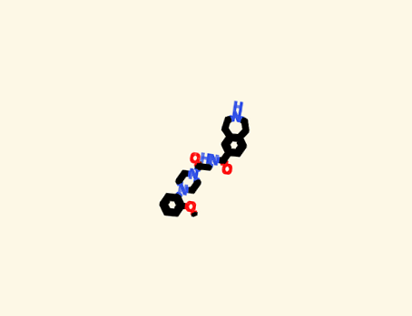 COc1ccccc1N1CCN(C(=O)CNC(=O)c2ccc3c(c2)CCNCC3)CC1